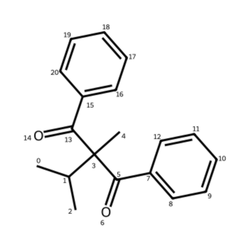 CC(C)C(C)(C(=O)c1ccccc1)C(=O)c1ccccc1